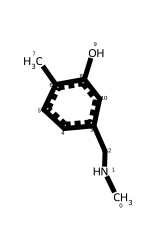 CNCc1ccc(C)c(O)c1